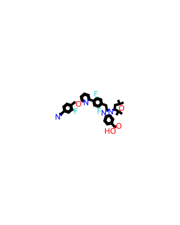 CC1(C)CC(n2c(Cc3cc(F)c(-c4cccc(OCc5ccc(C#N)cc5F)n4)cc3F)nc3ccc(C(=O)O)cc32)C(C)(C)O1